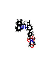 C[C@@H](NC1CCCCC(c2ccc(S(=O)(=O)N3CCOCC3)cc2)C1)c1cccc2ccccc12